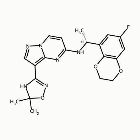 C[C@@H](Nc1ccn2ncc(C3=NOC(C)(C)N3)c2n1)c1cc(F)cc2c1OCCO2